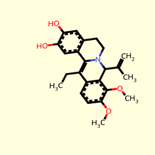 C=C(C)C1c2c(ccc(OC)c2OC)C(CC)=C2c3cc(O)c(O)cc3CCN21